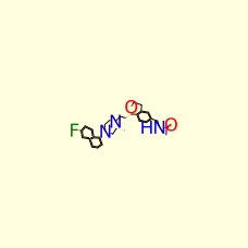 CC(=O)NCc1ccc2c(c1)CCO[C@H]2CCN1CCN(c2cccc3cc(F)ccc23)C[C@H]1C